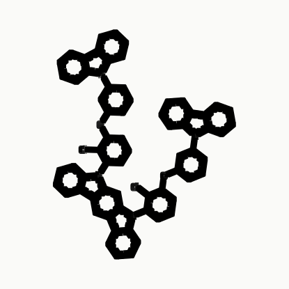 Clc1c(Oc2cccc(-n3c4ccccc4c4ccccc43)c2)cccc1-n1c2ccccc2c2cc3c4ccccc4n(-c4cccc(Oc5cccc(-n6c7ccccc7c7ccccc76)c5)c4Cl)c3cc21